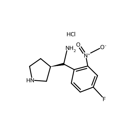 Cl.NC(c1ccc(F)cc1[N+](=O)[O-])[C@@H]1CCNC1